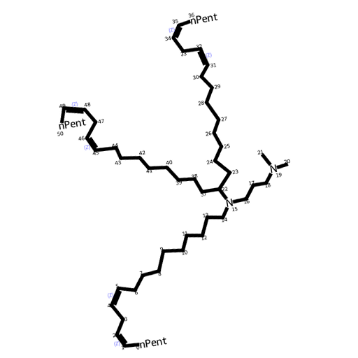 CCCCC/C=C\C/C=C\CCCCCCCCCN(CCCN(C)C)C(CCCCCCCC/C=C\C/C=C\CCCCC)CCCCCCCC/C=C\C/C=C\CCCCC